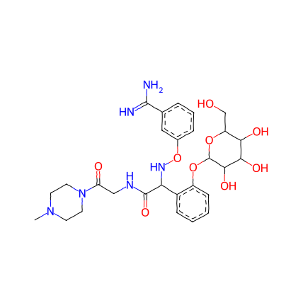 CN1CCN(C(=O)CNC(=O)C(NOc2cccc(C(=N)N)c2)c2ccccc2OC2OC(CO)C(O)C(O)C2O)CC1